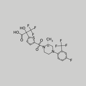 C[C@@H]1CN(c2ccc(F)cc2C(F)(F)F)CCN1S(=O)(=O)c1ccc(C(O)(C(=O)O)C(F)(F)F)s1